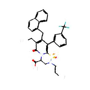 CCCN1CC(C(=O)O)n2c(c(-c3cccc(C(F)(F)F)c3)c(Cc3cccc4ccccc34)c(CC)c2=O)S1(=O)=O